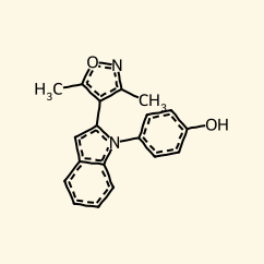 Cc1noc(C)c1-c1cc2ccccc2n1-c1ccc(O)cc1